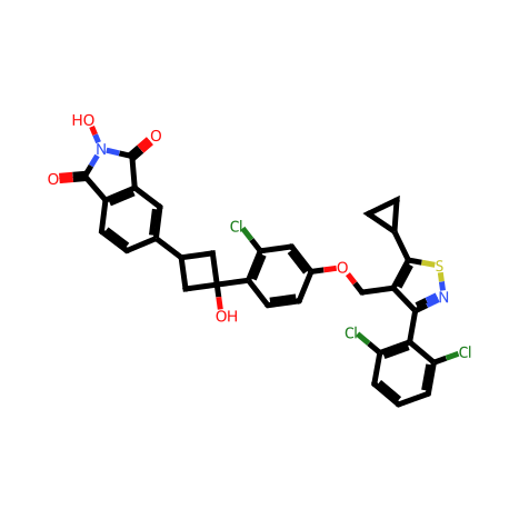 O=C1c2ccc(C3CC(O)(c4ccc(OCc5c(-c6c(Cl)cccc6Cl)nsc5C5CC5)cc4Cl)C3)cc2C(=O)N1O